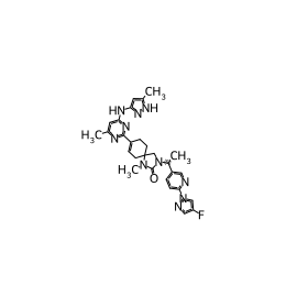 Cc1cc(Nc2cc(C)[nH]n2)nc(C2=CCC3(CC2)CN([C@@H](C)c2ccc(-n4cc(F)cn4)nc2)C(=O)N3C)n1